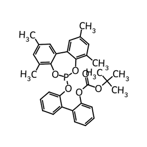 Cc1cc(C)c2op(Oc3ccccc3-c3ccccc3OC(=O)OC(C)(C)C)oc3c(C)cc(C)cc3c2c1